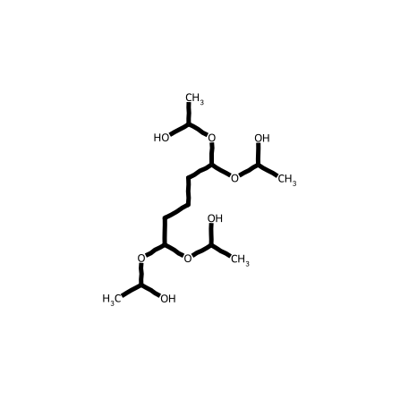 CC(O)OC(CCCC(OC(C)O)OC(C)O)OC(C)O